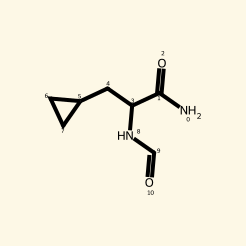 NC(=O)C(CC1CC1)NC=O